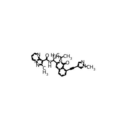 Cc1nn2cccnc2c1C(=O)NC(C)c1cc2cccc(C#Cc3cnn(C)c3)c2c(=O)n1C(C)C